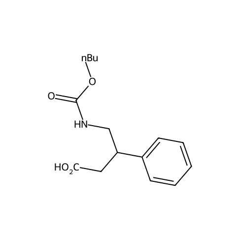 CCCCOC(=O)NCC(CC(=O)O)c1ccccc1